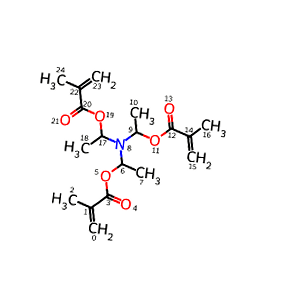 C=C(C)C(=O)OC(C)N(C(C)OC(=O)C(=C)C)C(C)OC(=O)C(=C)C